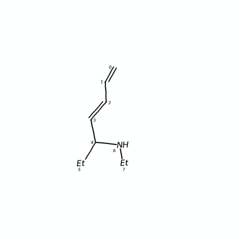 C=C/C=C/C(CC)NCC